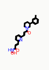 Cc1cccc(C2CCCN(C(=O)C=Cc3cccc(C=CC(=O)NO)n3)C2)c1